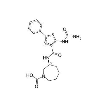 NC(=O)Nc1sc(-c2ccccc2)nc1C(=O)N[C@H]1CCCCN(C(=O)O)C1